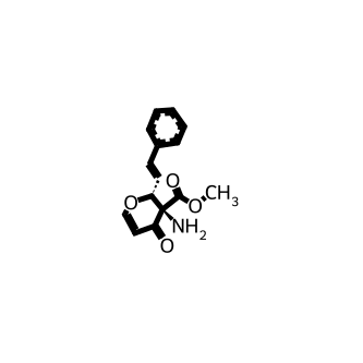 COC(=O)[C@]1(N)C(=O)C=CO[C@@H]1/C=C/c1ccccc1